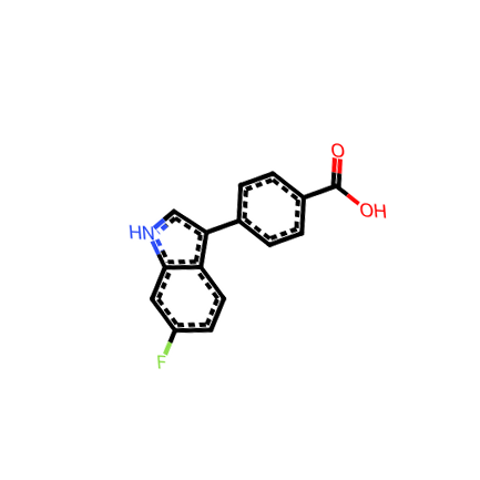 O=C(O)c1ccc(-c2c[nH]c3cc(F)ccc23)cc1